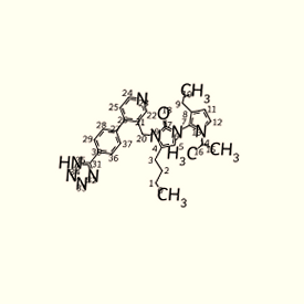 CCCCc1cn(-c2c(CC)ccn2C(C)C)c(=O)n1Cc1cnccc1-c1ccc(-c2nnn[nH]2)cc1